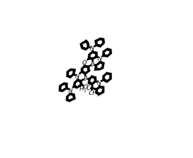 CC1(C)c2ccccc2N(c2ccccc2)c2ccc3c(c21)Oc1cc(N(c2ccccc2)c2ccccc2)cc2c1B3c1cc3c(cc1N2c1ccccc1)Oc1cc(N(c2ccccc2)c2ccccc2)cc2c1B3c1ccccc1N2c1ccccc1